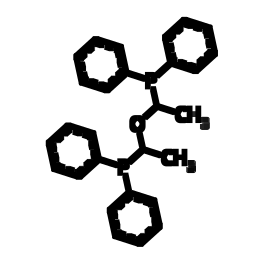 CC(OC(C)P(c1ccccc1)c1ccccc1)P(c1ccccc1)c1ccccc1